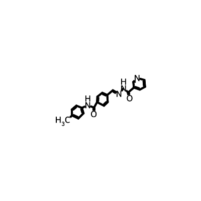 Cc1ccc(NC(=O)c2ccc(C=NNC(=O)c3cccnc3)cc2)cc1